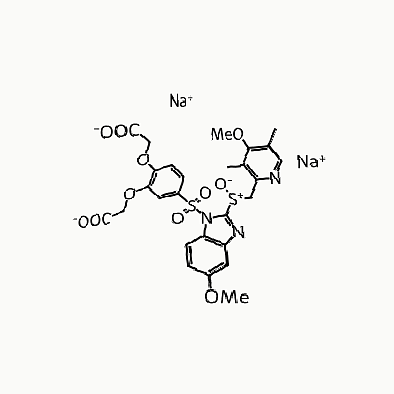 COc1ccc2c(c1)nc([S+]([O-])Cc1ncc(C)c(OC)c1C)n2S(=O)(=O)c1ccc(OCC(=O)[O-])c(OCC(=O)[O-])c1.[Na+].[Na+]